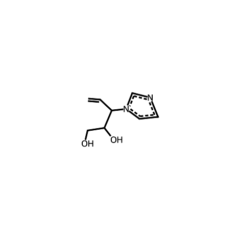 C=CC(C(O)CO)n1ccnc1